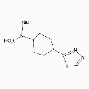 CC(C)(C)N(C(=O)O)C1CCC(c2nncs2)CC1